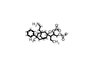 CCC(C(CO[N+](=O)[O-])O[N+](=O)[O-])C1(C)C=C2CC(CCN)(CC(C)(c3ccccc3)C2)C1